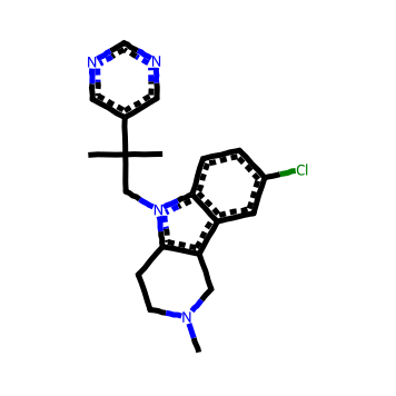 CN1CCc2c(c3cc(Cl)ccc3n2CC(C)(C)c2cncnc2)C1